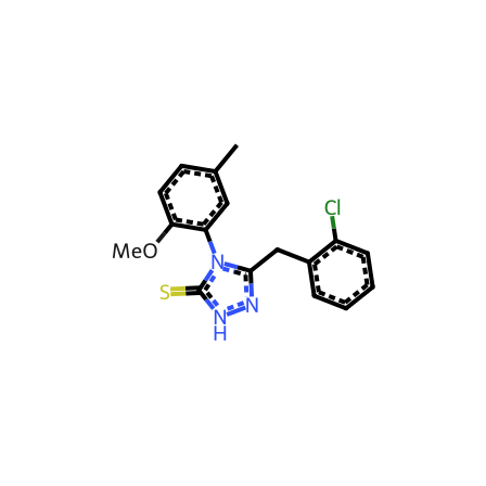 COc1ccc(C)cc1-n1c(Cc2ccccc2Cl)n[nH]c1=S